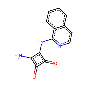 Nc1c(Nc2nccc3ccccc23)c(=O)c1=O